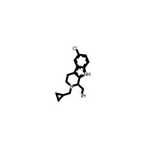 CC(C)CC1c2[nH]c3ccc(Cl)cc3c2CCN1CC1CC1